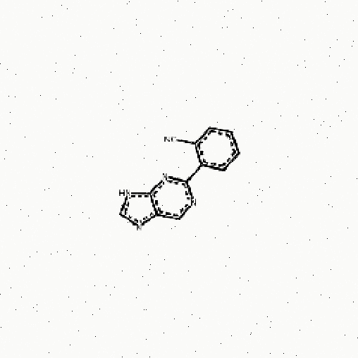 N#Cc1ccccc1-c1ncc2nc[nH]c2n1